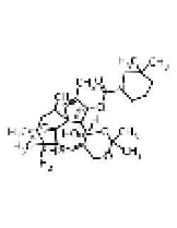 CC1=CC23C(=O)[C@@H](C=C4COC(C)(C)O[C@H]4[C@]2(O)[C@H]1OC(=O)N1CCCC(C)(C)C1)C(C)(C)[C@@H](C)CC3C